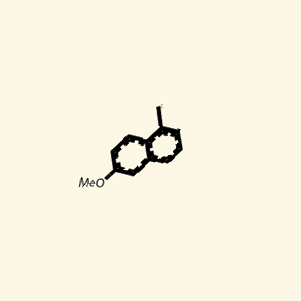 [CH]c1cccc2cc(OC)ccc12